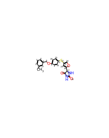 Cc1cccc(COc2ccc(Sc3coc(C4NC(=O)NC4=O)c3)cc2)c1